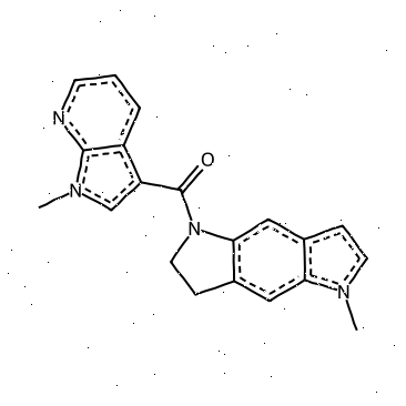 Cn1ccc2cc3c(cc21)CCN3C(=O)c1cn(C)c2ncccc12